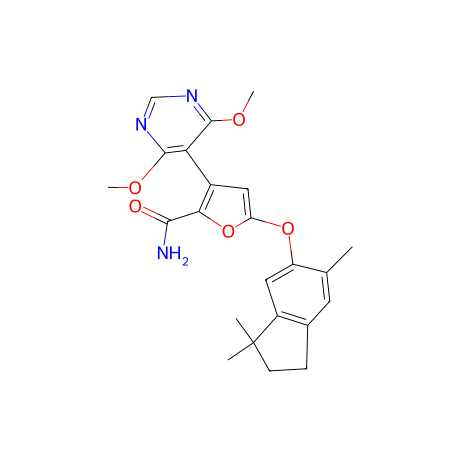 COc1ncnc(OC)c1-c1cc(Oc2cc3c(cc2C)CCC3(C)C)oc1C(N)=O